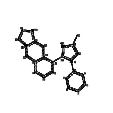 Cc1cn(-c2ccccc2)c(-c2cccc3cn4ccnc4cc23)n1